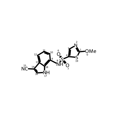 COc1ncc(S(=O)(=O)Nc2cccc3c(C#N)c[nH]c23)s1